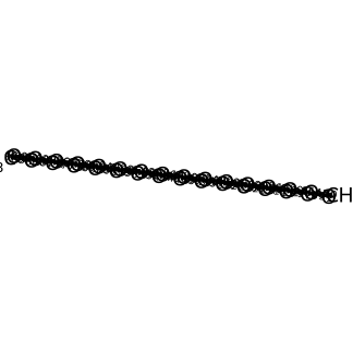 COCCCCOOCCCCOOCCCCOOCCCCOOCCCCOOCCCCOOCCCCOOCCCCOOCCCCOOCCCCOOCCCCOOCCCCOOCCCCOOCCCCOOCCCCOC